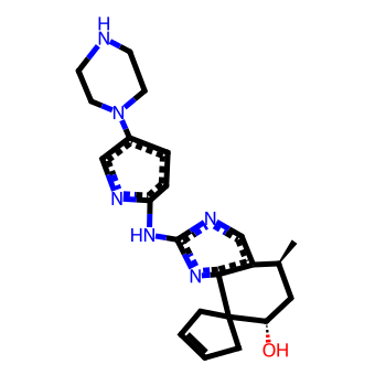 C[C@H]1C[C@H](O)C2(CC=CC2)c2nc(Nc3ccc(N4CCNCC4)cn3)ncc21